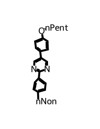 CCCCCCCCCc1ccc(-c2ncc(-c3ccc(OCCCCC)cc3)cn2)cc1